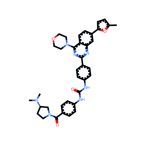 Cc1ccc(-c2ccc3c(N4CCOCC4)nc(-c4ccc(NC(=O)Nc5ccc(C(=O)N6CC[C@@H](N(C)C)C6)cc5)cc4)nc3c2)o1